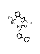 CCN(Cc1cccnc1-c1nc(C(F)(F)F)c(C(=O)NCCc2cccc(-c3cccnc3)c2)s1)C(C)C